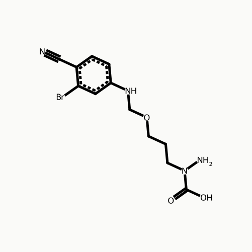 N#Cc1ccc(NCOCCCN(N)C(=O)O)cc1Br